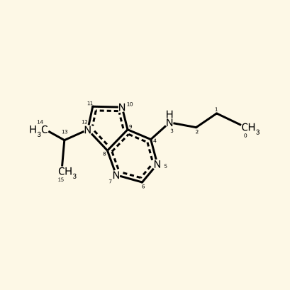 CCCNc1ncnc2c1ncn2C(C)C